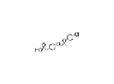 CC(COc1ccc(CC(=O)O)cc1)Oc1ccc(Cl)cc1